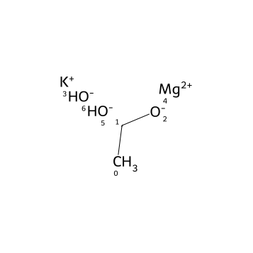 CC[O-].[K+].[Mg+2].[OH-].[OH-]